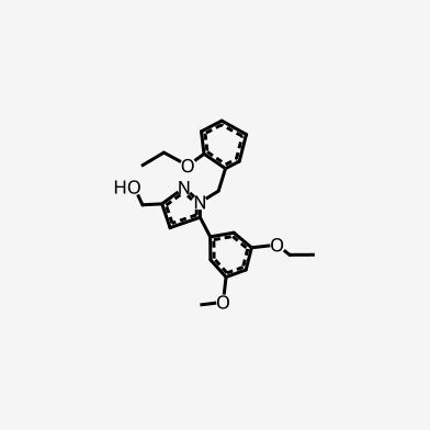 CCOc1cc(OC)cc(-c2cc(CO)nn2Cc2ccccc2OCC)c1